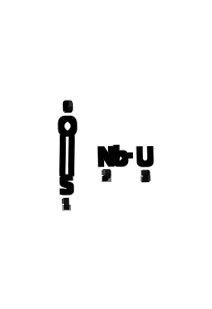 O=S.[Nb].[U]